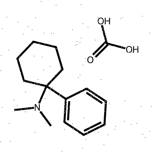 CN(C)C1(c2ccccc2)CCCCC1.O=C(O)O